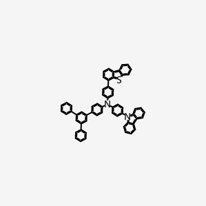 c1ccc(-c2cc(-c3ccccc3)cc(-c3ccc(N(c4ccc(-c5cccc6c5sc5ccccc56)cc4)c4ccc(-n5c6ccccc6c6ccccc65)cc4)cc3)c2)cc1